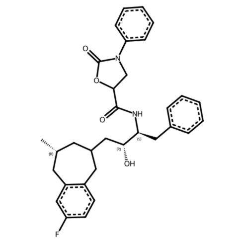 C[C@H]1Cc2cc(F)ccc2CC(C[C@@H](O)[C@H](Cc2ccccc2)NC(=O)C2CN(c3ccccc3)C(=O)O2)C1